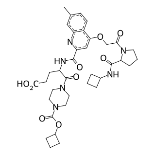 Cc1ccc2c(OCC(=O)N3CCCC3C(=O)NC3CCC3)cc(C(=O)NC(CCC(=O)O)C(=O)N3CCN(C(=O)OC4CCC4)CC3)nc2c1